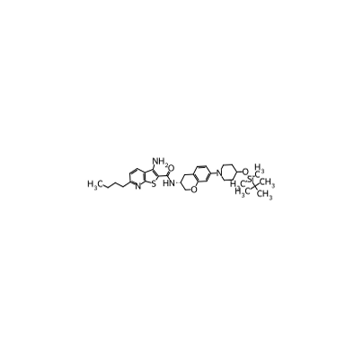 CCCCc1ccc2c(N)c(C(=O)N[C@H]3COc4cc(N5CCC(O[Si](C)(C)C(C)(C)C)CC5)ccc4C3)sc2n1